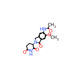 COc1cc2c(cc1NC(C)=O)CN(C1CCC(=O)NC1=O)C2=O